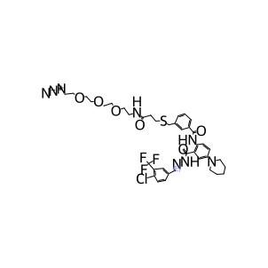 [N-]=[N+]=NCCOCCOCCOCCNC(=O)CCSCc1cccc(C(=O)Nc2ccc(N3CCCCC3)cc2C(=O)N/N=C/c2ccc(Cl)c(C(F)(F)F)c2)c1